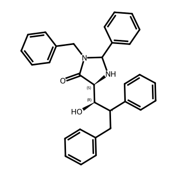 O=C1[C@H]([C@H](O)[C](Cc2ccccc2)c2ccccc2)NC(c2ccccc2)N1Cc1ccccc1